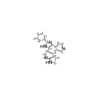 c1ccc(-c2nc(-c3ccncc3)c(-c3cnc4c(c3)CCN4)[nH]2)cc1